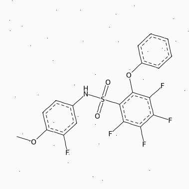 COc1ccc(NS(=O)(=O)c2c(F)c(F)c(F)c(F)c2Oc2ccccc2)cc1F